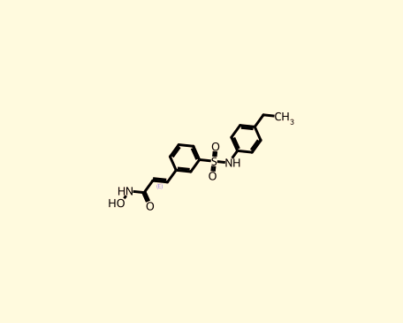 CCc1ccc(NS(=O)(=O)c2cccc(/C=C/C(=O)NO)c2)cc1